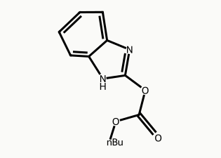 CCCCOC(=O)Oc1nc2ccccc2[nH]1